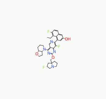 CCc1c(F)ccc2cc(O)cc(-c3ncc4c(N5CCCC6OCCC65)nc(OCC56CCCN5C[C@H](F)C6)nc4c3F)c12